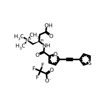 C[N+](C)(C)C[C@@H](CC(=O)O)NC(=O)c1ccc(C#Cc2ccsc2)o1.O=C([O-])C(F)(F)F